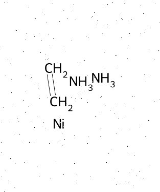 C=C.N.N.[Ni]